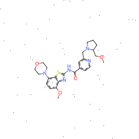 COCC1CCCN1Cc1cc(C(=O)Nc2nc3c(OC)ccc(N4CCOCC4)c3s2)ccn1